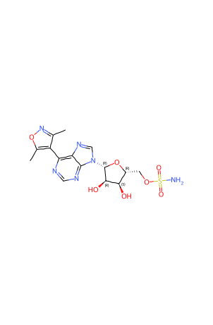 Cc1noc(C)c1-c1ncnc2c1ncn2[C@@H]1O[C@H](COS(N)(=O)=O)[C@@H](O)[C@H]1O